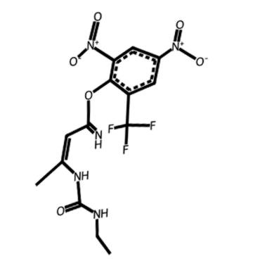 CCNC(=O)N/C(C)=C\C(=N)Oc1c([N+](=O)[O-])cc([N+](=O)[O-])cc1C(F)(F)F